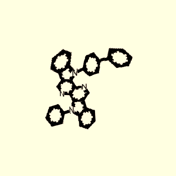 c1ccc(-c2ccc(-n3c4ccccc4c4cnc5c(ncc6c7ccccc7n(-c7ccccc7)c65)c43)cc2)cc1